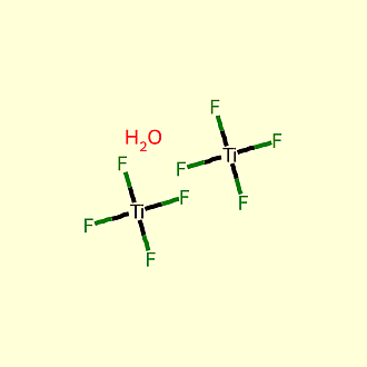 O.[F][Ti]([F])([F])[F].[F][Ti]([F])([F])[F]